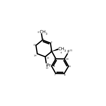 CC1=C[C@](C)(c2ccccc2F)C(C(C)C)CC1